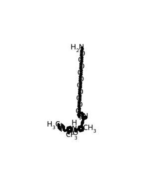 Cc1ccc(C(=O)Nc2ccc(CN3CCN(C)CC3)c(C(F)(F)F)c2)cc1C#Cc1cnc2cc(OCCOCCOCCOCCOCCOCCOCCOCCOCCOCCN)ccn12